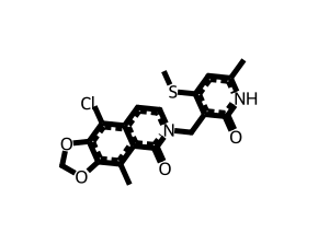 CSc1cc(C)[nH]c(=O)c1Cn1ccc2c(Cl)c3c(c(C)c2c1=O)OCO3